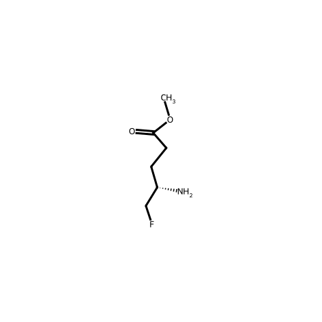 COC(=O)CC[C@H](N)CF